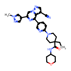 CCC1(C(=O)NC2CCOCC2)CCN(c2ccc(-c3nc(-c4cnn(C)c4)cn4ncc(C#N)c34)cn2)CC1